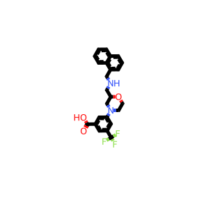 O=C(O)c1cc(N2CCOC(CNCc3cccc4ccccc34)C2)cc(C(F)(F)F)c1